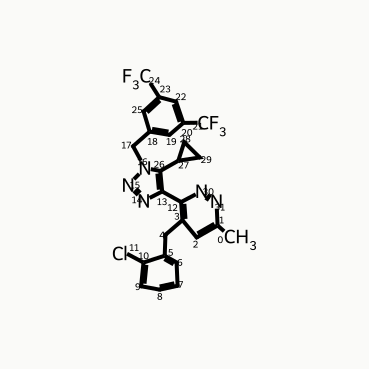 Cc1cc(Cc2ccccc2Cl)c(-c2nnn(Cc3cc(C(F)(F)F)cc(C(F)(F)F)c3)c2C2CC2)nn1